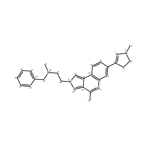 Cc1nc2cc(C3=NN(C)CC3)ccc2c2cn(CCN(C)Cc3ccccc3)nc12